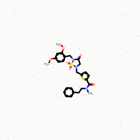 COc1ccc(CN2C(=O)CN(Cc3ccc(C(=O)N(C)CCc4ccccc4)s3)S2(=O)=O)c(OC)c1